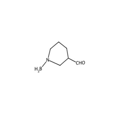 BN1CCCC(C=O)C1